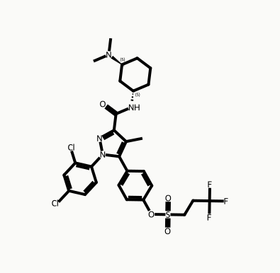 Cc1c(C(=O)N[C@H]2CCC[C@H](N(C)C)C2)nn(-c2ccc(Cl)cc2Cl)c1-c1ccc(OS(=O)(=O)CCC(F)(F)F)cc1